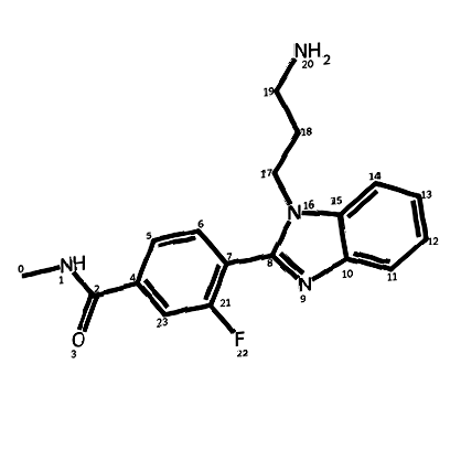 CNC(=O)c1ccc(-c2nc3ccccc3n2CCCN)c(F)c1